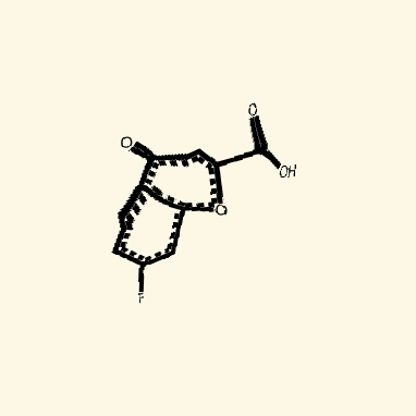 O=C(O)c1cc(=O)c2ccc(F)cc2o1